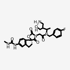 CNC(=O)Nc1ccc2c(c1)CC[C@@]21OC(=O)N(CC(=O)N(Cc2ccc(F)cc2)C(C)C(CN)CO)C1=O